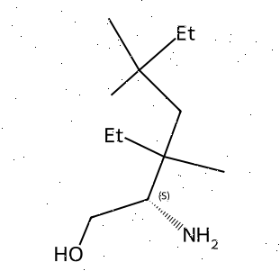 CCC(C)(C)CC(C)(CC)[C@H](N)CO